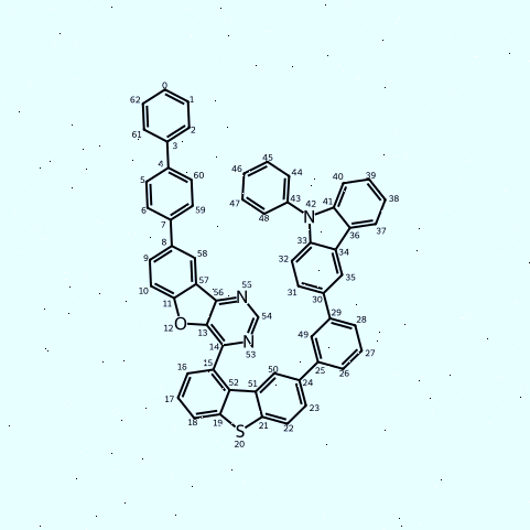 c1ccc(-c2ccc(-c3ccc4oc5c(-c6cccc7sc8ccc(-c9cccc(-c%10ccc%11c(c%10)c%10ccccc%10n%11-c%10ccccc%10)c9)cc8c67)ncnc5c4c3)cc2)cc1